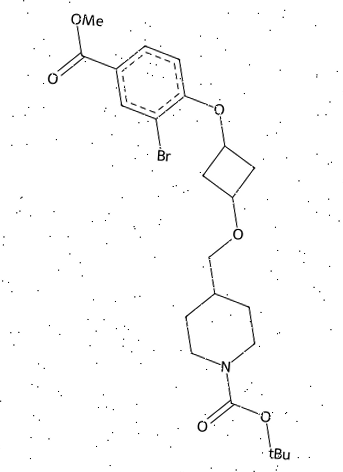 COC(=O)c1ccc(OC2CC(OCC3CCN(C(=O)OC(C)(C)C)CC3)C2)c(Br)c1